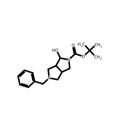 CC(C)(C)OC(=O)N1CC2CN(Cc3ccccc3)CC2C1O